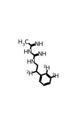 [2H]c1cccc(C([2H])CNC(=N)NC(C)=N)c1[2H]